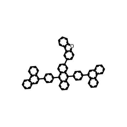 c1ccc2c(c1)cc(-c1ccc(-c3c4ccccc4c(-c4ccc(-c5cc6ccccc6c6ccccc56)cc4)c4cc(-c5ccc6oc7ccccc7c6c5)ccc34)cc1)c1ccccc12